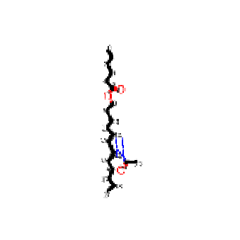 CCCCCC(=O)OCCCCCCC(CCCCC)NC(C)=O